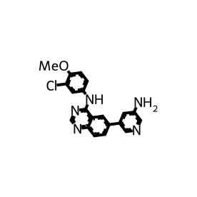 COc1ccc(Nc2ncnc3ccc(-c4cncc(N)c4)cc23)cc1Cl